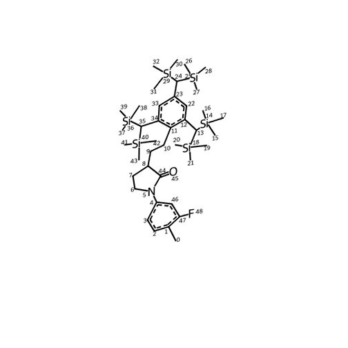 Cc1ccc(N2CCC(CCc3c(C([Si](C)(C)C)[Si](C)(C)C)cc(C([Si](C)(C)C)[Si](C)(C)C)cc3C([Si](C)(C)C)[Si](C)(C)C)C2=O)cc1F